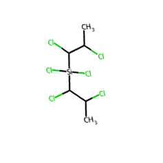 CC(Cl)C(Cl)[Si](Cl)(Cl)C(Cl)C(C)Cl